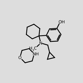 C1COCCN1.CN(CC1CC1)C1(c2cccc(O)c2)CCCCC1